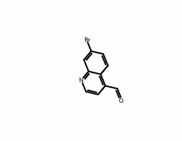 O=Cc1ccnc2cc(Br)ccc12